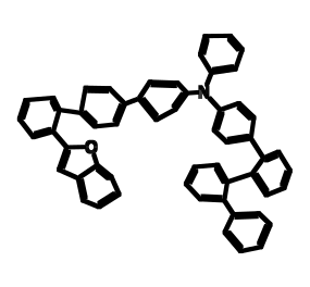 c1ccc(-c2ccccc2-c2ccccc2-c2ccc(N(c3ccccc3)c3ccc(-c4ccc(-c5ccccc5-c5cc6ccccc6o5)cc4)cc3)cc2)cc1